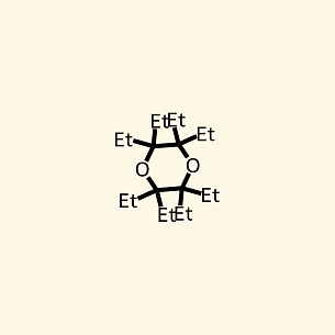 CCC1(CC)OC(CC)(CC)C(CC)(CC)OC1(CC)CC